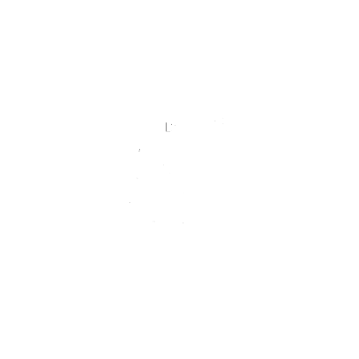 Cc1cc(C)c(C(Br)C=O)c(C)c1